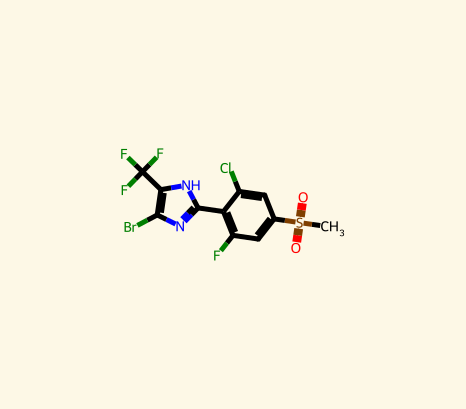 CS(=O)(=O)c1cc(F)c(-c2nc(Br)c(C(F)(F)F)[nH]2)c(Cl)c1